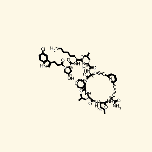 CC[C@H](C)[C@@H]1NC(=O)[C@H](CC(C)C)NC(=O)C2(CCOCC2)NC(=O)[C@@H](NC(=O)[C@@H](CC(C)C)NC(=O)[C@H](CCCCCN)NC(=O)[C@@H]2C[C@@H](O)CN2C(=O)CCc2c[nH]c3ccc(Cl)cc23)CSCc2cccc(n2)CSC[C@@H](C(N)=O)NC1=O